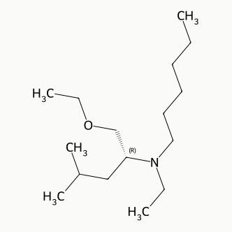 CCCCCCN(CC)[C@@H](COCC)CC(C)C